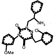 COc1cccc(-n2c(=O)c(Cc3ccccc3Cl)nn(CC(N)c3ccccc3)c2=O)c1